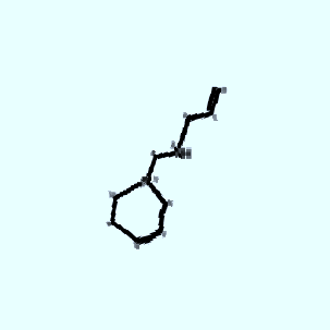 C=CCNCN1CCCCC1